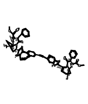 COC(=O)N[C@@H](C(=O)N1[C@@H]2C[C@@H]2C[C@H]1c1nc2ccc(C#Cc3ccc4c(ccc5[nH]c([C@@H]6C[C@H]7C[C@H]7N6C(=O)[C@H](NC(=O)OC)c6ccccc6)nc54)c3)cc2[nH]1)c1ccccc1